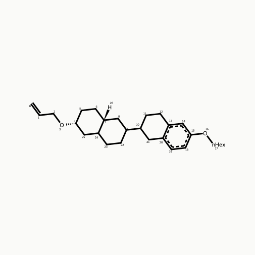 C=CCO[C@@H]1CC[C@@H]2CC(C3CCc4cc(OCCCCCC)ccc4C3)CCC2C1